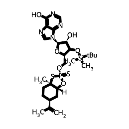 C=C(C)[C@H]1CC[C@@]2(C)S[P@](=S)(OC[C@H]3O[C@@H](n4cnc5c(O)ncnc54)[C@H](O)C3O[Si](C)(C)C(C)(C)C)O[C@@H]2C1